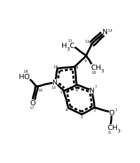 COc1ccc2c(n1)c(C(C)(C)C#N)cn2C(=O)O